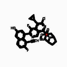 C#Cc1c(F)ccc2cc(O)cc(-c3ncc4c(N5CC6CCC(C5)N6C(=O)OC(C)(C)C)nc(Cl)c(C5CC5)c4c3F)c12